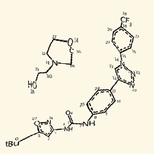 CC(C)(C)c1cc(NC(=O)Nc2ccc(-c3cn(-c4ccc(C(F)(F)F)cc4)nn3)cc2)no1.OCCN1CCOCC1